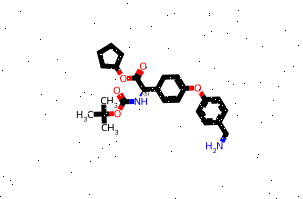 CC(C)(C)OC(=O)N[C@H](C(=O)OC1CCCC1)C1C=CC(Oc2ccc(CN)cc2)=CC1